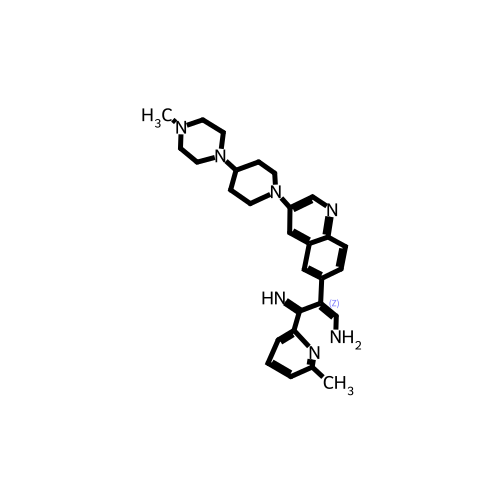 Cc1cccc(C(=N)/C(=C\N)c2ccc3ncc(N4CCC(N5CCN(C)CC5)CC4)cc3c2)n1